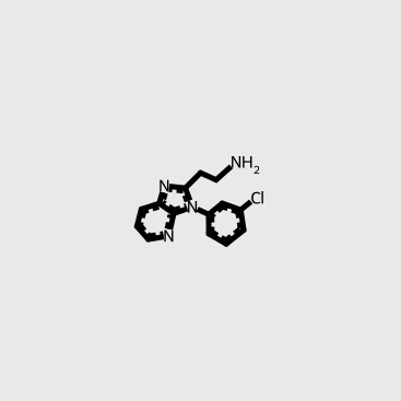 NCCc1nc2cccnc2n1-c1cccc(Cl)c1